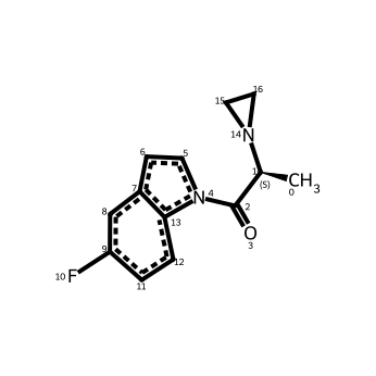 C[C@@H](C(=O)n1ccc2cc(F)ccc21)N1CC1